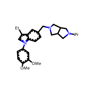 CCc1cn(-c2ccc(OC)c(OC)c2)c2ccc(CN3CC4CN(C(C)C)CC4C3)cc12